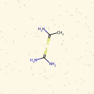 CC(N)=S.NC(N)=S